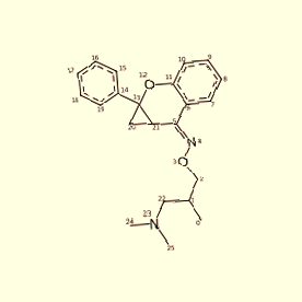 CC(CON=C1c2ccccc2OC2(c3ccccc3)CC12)CN(C)C